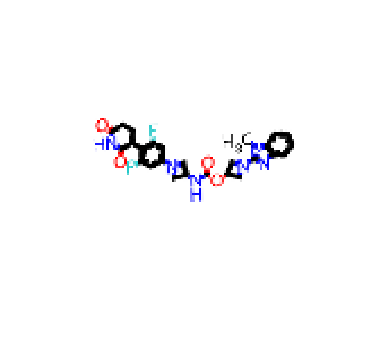 Cn1c(N2CC(OC(=O)NC3CN(c4cc(F)c(C5CCC(=O)NC5=O)c(F)c4)C3)C2)nc2ccccc21